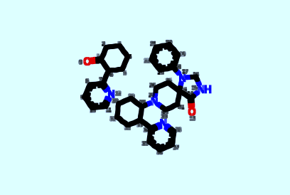 O=C1CCCCC1c1ccccn1.O=C1NCN(c2ccccc2)C12CCN(C1CCCCC1c1ccccn1)CC2